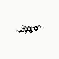 Cn1c2c(c(=O)n(CCCO)c1=O)C1CCC1C(Oc1cccc(OC(F)(F)F)c1)=N2